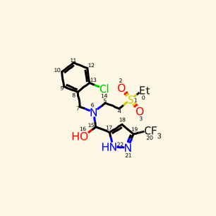 CCS(=O)(=O)CCN(Cc1ccccc1Cl)C(O)c1cc(C(F)(F)F)n[nH]1